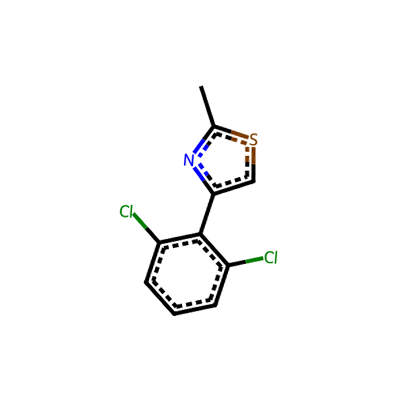 Cc1nc(-c2c(Cl)cccc2Cl)cs1